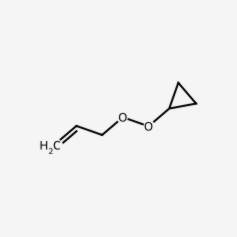 C=CCOOC1CC1